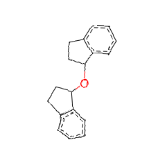 c1ccc2c(c1)CCC2OC1CCc2ccccc21